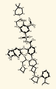 CC(C)c1ccccc1[C@H]1CCCN1C1CC2(CCN(c3ccc(C(=O)NS(=O)(=O)c4cc5c(c([N+](=O)[O-])c4)N[C@@H](C4CCC(C)(C)CC4)CO5)c(Oc4cc5cc[nH]c5nc4OCCN4CCC4)c3)CC2)C1